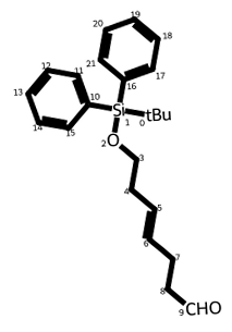 CC(C)(C)[Si](OCC/C=C/CCC=O)(c1ccccc1)c1ccccc1